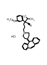 COc1cccc(C(C#N)(CCCN2CCC(=C3c4ccccc4C=Cc4ccccc43)CC2)C(C)C)c1.Cl